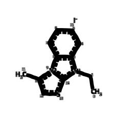 CC[n+]1c2ccccc2n2c(C)csc21.[I-]